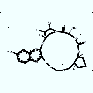 CC[C@@H]1[C@@H]2CN(C(=O)[C@H](C(C)(C)C)NC(=O)O[C@@H]3CCC[C@H]3CCCCCc3nc4ccc(OC)cc4nc3O2)[C@@H]1C(C)=O